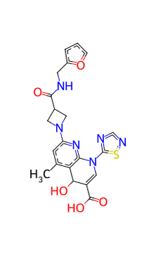 Cc1cc(N2CC(C(=O)NCc3ccco3)C2)nc2c1C(O)C(C(=O)O)=CN2c1ncns1